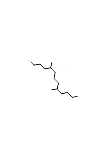 CCC(C)CCCC(C)CCCC(C)CCCC(C)C.[Cd+2].[Cl-].[Cl-]